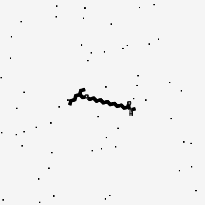 CCCCC(CC)COCCCCCCCCCCCC(=O)NC